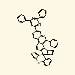 c1ccc(-c2cc(-c3ccc4c(c3)nc(-c3ccccc3)c3c5c(ccc34)C3(c4ccccc4Sc4ccccc43)c3ccccc3-5)nc(-c3ccccc3)n2)cc1